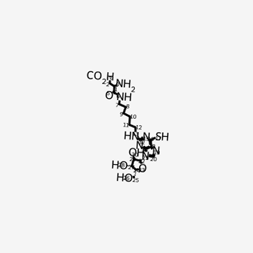 NC(CC(=O)O)C(=O)NCCCCCCNc1nc(S)c2ncn([C@@H]3O[C@H](CO)[C@H](O)C3O)c2n1